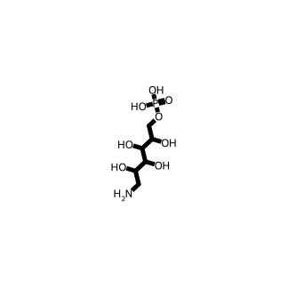 NCC(O)C(O)C(O)C(O)COP(=O)(O)O